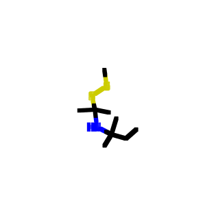 CCC(C)(C)NC(C)(C)SSC